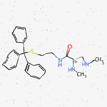 CNC[C@H](NC)C(=O)NCCSC(c1ccccc1)(c1ccccc1)c1ccccc1